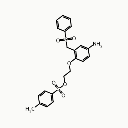 Cc1ccc(S(=O)(=O)OCCOc2ccc(N)cc2CS(=O)(=O)c2ccccc2)cc1